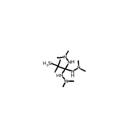 CN(C)NC(NN(C)C)(NN(C)C)C(C)(C)[SiH3]